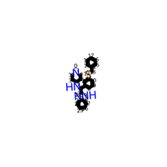 CN1CCC(NC(c2cccc(SCc3ccccc3)c2)c2nc3ccccc3[nH]2)CC1